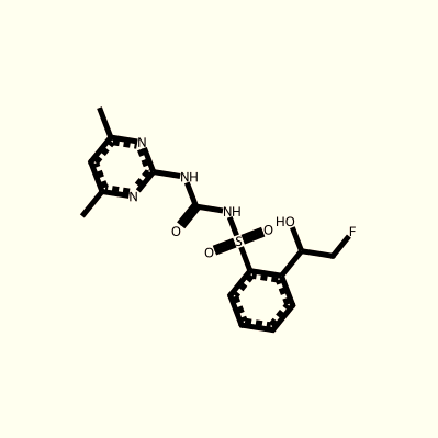 Cc1cc(C)nc(NC(=O)NS(=O)(=O)c2ccccc2C(O)CF)n1